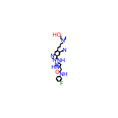 CCN(CCO)CC/C=C/c1cc2ncnc(Nc3cc(CC(=O)Nc4cccc(F)c4)[nH]n3)c2cc1C#N